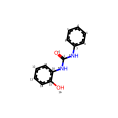 O=C(Nc1ccccc1)Nc1ccccc1O